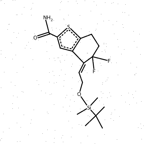 CC(C)(C)[Si](C)(C)OCC=C1c2cc(C(N)=O)sc2CCC1(F)F